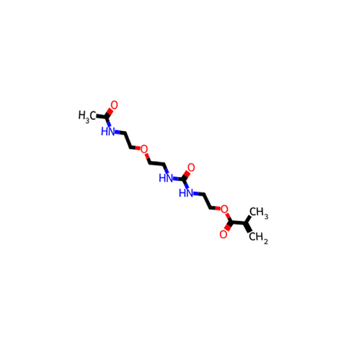 C=C(C)C(=O)OCCNC(=O)NCCOCCNC(C)=O